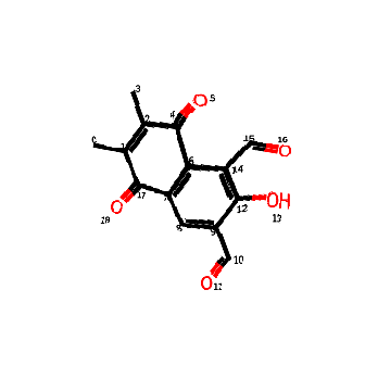 CC1=C(C)C(=O)c2c(cc(C=O)c(O)c2C=O)C1=O